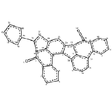 O=c1c2ccccc2c2c3c4cccc5c6ccccc6c(=O)n(c3cc3nc(-c6ccccc6)n1c32)c54